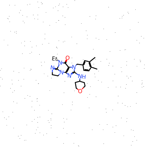 CCN1C(=O)c2c(nc(NC3CCOCC3)n2Cc2ccc(C)c(C)c2)N2CCN=C12